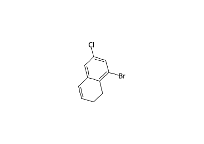 Clc1cc(Br)c2c(c1)C=CCC2